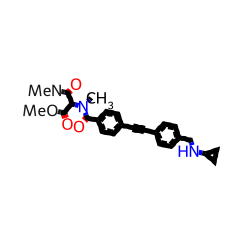 CNC(=O)C(C(=O)OC)N(C)C(=O)c1ccc(C#Cc2ccc(CNC3CC3)cc2)cc1